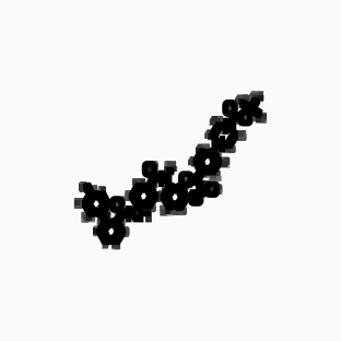 Cc1ccc(-c2ccccc2C(=O)Nc2ccc(C(=O)N(C)c3ccccc3OC(c3ccc(N4CCN(C(=O)OC(C)(C)C)CC4)cc3)=S(=O)=O)cc2)cc1